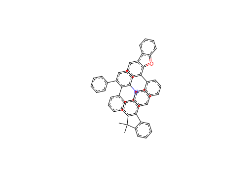 CC1(C)c2ccccc2-c2cc(N(c3ccccc3-c3cccc4c3oc3ccccc34)c3cccc(-c4ccccc4)c3-c3ccccc3-c3ccccc3)ccc21